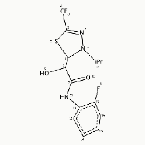 CC(C)N1N=C(C(F)(F)F)SC1C(O)C(=O)Nc1ccccc1F